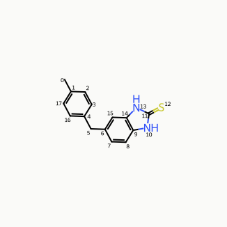 Cc1ccc(Cc2ccc3[nH]c(=S)[nH]c3c2)cc1